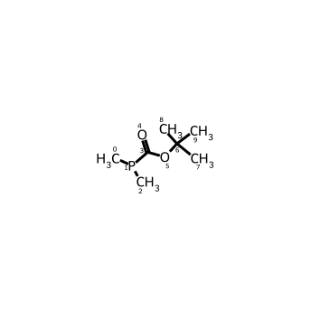 CP(C)C(=O)OC(C)(C)C